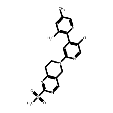 Cc1cnc(-c2cc(N3CCc4nc(S(C)(=O)=O)ncc4C3)ncc2Cl)c(C)c1